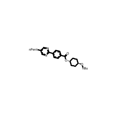 CCCCCc1cnc(-c2ccc(C(=O)O[C@H]3CC[C@H](OCCCC)CC3)cc2)nc1